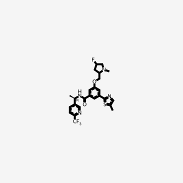 Cc1cnc(-c2cc(OCC3CC(F)CN3C)cc(C(=O)N[C@H](C)c3ccc(C(F)(F)F)nc3)c2)s1